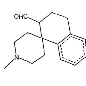 CN1CCC2(CC1)c1ccccc1CCC2C=O